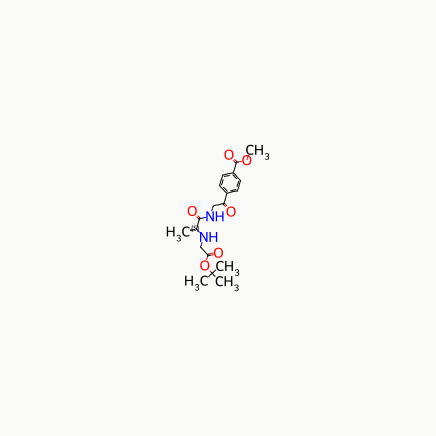 COC(=O)c1ccc(C(=O)CNC(=O)[C@H](C)NCC(=O)OC(C)(C)C)cc1